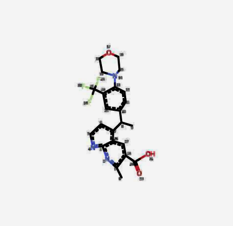 Cc1nc2nccc(C(C)c3ccc(N4CCOCC4)c(C(F)(F)F)c3)c2cc1C(=O)O